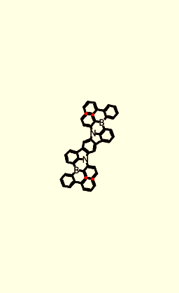 c1ccc(-c2ccccc2B2c3ccccc3-n3c4cc5c6cccc7c6n(c5cc4c4cccc2c43)-c2ccccc2B7c2ccccc2-c2ccccc2)cc1